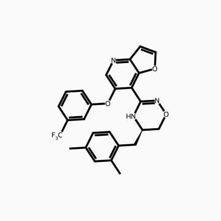 Cc1ccc(C[C@@H]2CON=C(c3c(Oc4cccc(C(F)(F)F)c4)cnc4ccoc34)N2)c(C)c1